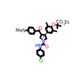 CCOC(=O)C(C)(C)Oc1c(C)cc([C@H]2CN(C(=O)Nc3ccc(Cl)cc3)CC2C(=O)c2ccc(SC)cc2)cc1C